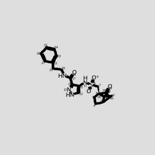 CC1(C)C2CC[C@]1(CS(=O)(=O)Nc1c[nH]nc1C(=O)NCCc1ccccc1)C(=O)C2